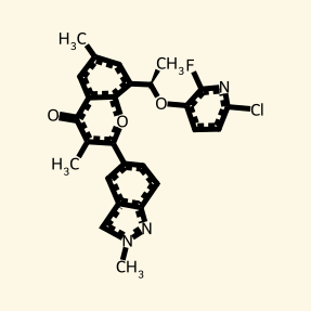 Cc1cc([C@@H](C)Oc2ccc(Cl)nc2F)c2oc(-c3ccc4nn(C)cc4c3)c(C)c(=O)c2c1